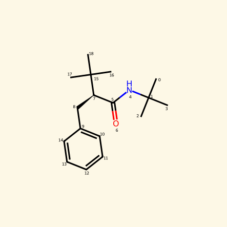 CC(C)(C)NC(=O)[C@@H](Cc1ccccc1)C(C)(C)C